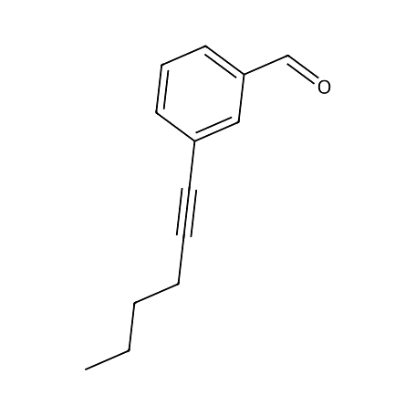 CCCCC#Cc1cccc(C=O)c1